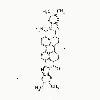 Cc1cc2nc3n(c2cc1C)C(N)c1ccc2c4c1C3CC=c4c1c3c2ccc2c3c(c(=O)n3c4cc(C)c(C)cc4nc23)CC1